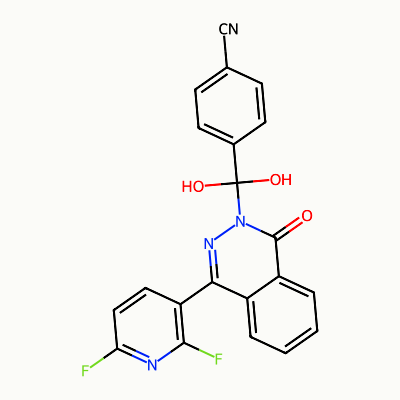 N#Cc1ccc(C(O)(O)n2nc(-c3ccc(F)nc3F)c3ccccc3c2=O)cc1